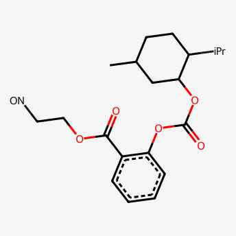 CC1CCC(C(C)C)C(OC(=O)Oc2ccccc2C(=O)OCCN=O)C1